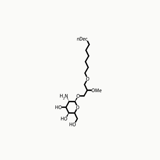 CCCCCCCCCCCCCCCCOCC(CO[C@H]1OC(CO)[C@@H](O)C(O)[C@@H]1N)OC